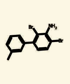 Cc1cccc(-c2[c]cc(Br)c(N)c2Br)c1